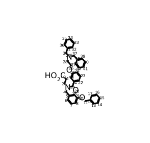 O=C(O)CCN(Cc1cccc(OCc2ccccc2)c1)C(=O)c1cccc(OCCN(Cc2ccccc2)Cc2ccccc2)c1